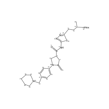 C=C1CC(C(=O)Nc2nnc(CCC(C)CCCCCC)s2)CN1c1ccc(CN2CCCCC2)cc1